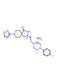 C[C@@H]1CN(c2ccc(F)cc2)CCN1CC[C@H]1CC2(CCN(c3ccon3)CC2)C(=O)N1